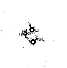 Cc1n[nH]c(CNCc2cccc(C(N)=O)c2)c1Oc1cc(Cl)cc(C#N)c1